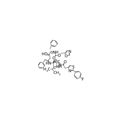 CC(C)[C@H](NN(C)C(=O)Cc1csc(-c2ccc(F)cc2)n1)C(=O)N[C@@H](Cc1ccccc1)C[C@H](O)[C@H](Cc1ccccc1)NC(=O)OCc1cnco1